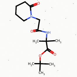 CC(C)(C)OC(=O)C(C)(C)NC(=O)CN1CCCCC1=O